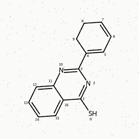 Sc1nc(C2=CC=CCC2)nc2ccccc12